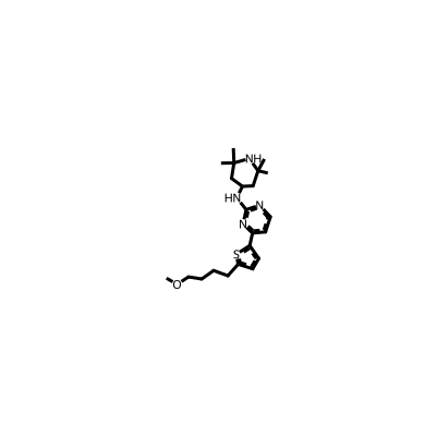 COCCCCc1ccc(-c2ccnc(NC3CC(C)(C)NC(C)(C)C3)n2)s1